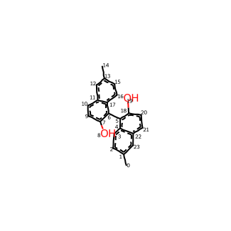 Cc1ccc2c(-c3c(O)ccc4cc(C)ccc34)c(O)ccc2c1